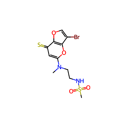 CN(CCNS(C)(=O)=O)c1cc(=S)c2occ(Br)c2o1